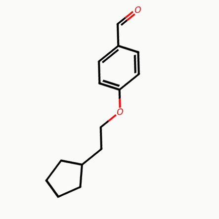 O=Cc1ccc(OCCC2CCCC2)cc1